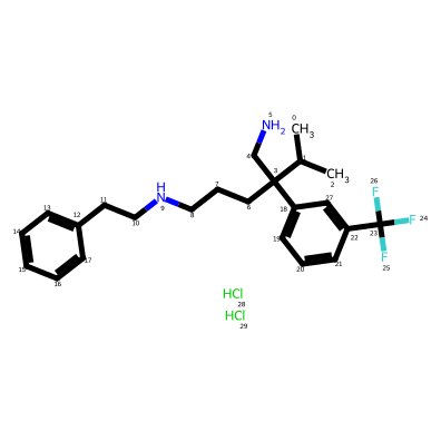 CC(C)C(CN)(CCCNCCc1ccccc1)c1cccc(C(F)(F)F)c1.Cl.Cl